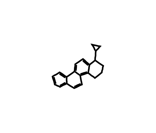 c1ccc2c(c1)ccc1c3c(ccc12)C(C1CC1)CCC3